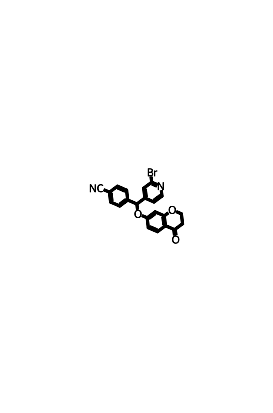 N#Cc1ccc(C(Oc2ccc3c(c2)OCCC3=O)c2ccnc(Br)c2)cc1